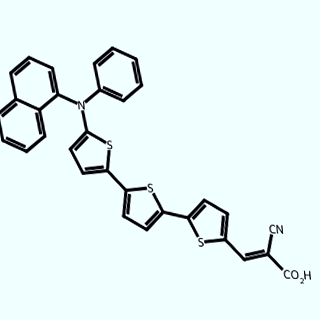 N#C/C(=C\c1ccc(-c2ccc(-c3ccc(N(c4ccccc4)c4cccc5ccccc45)s3)s2)s1)C(=O)O